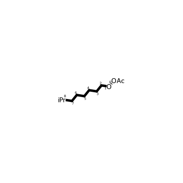 CC(=O)OOCCCCCCC(C)C